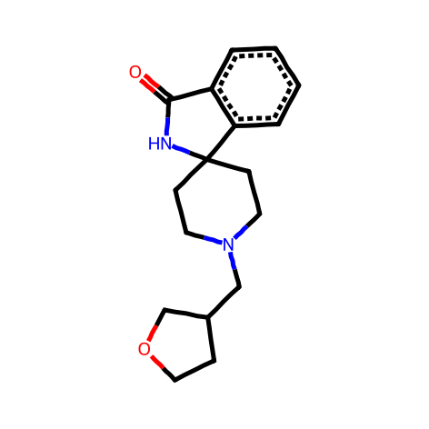 O=C1NC2(CCN(CC3CCOC3)CC2)c2ccccc21